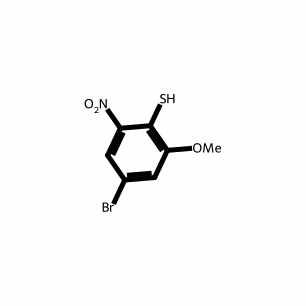 COc1cc(Br)cc([N+](=O)[O-])c1S